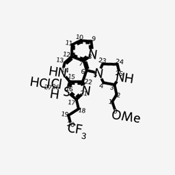 COCCC1CN(C2=c3ncccc3=CNc3sc(CCC(F)(F)F)nc32)CCN1.Cl.Cl